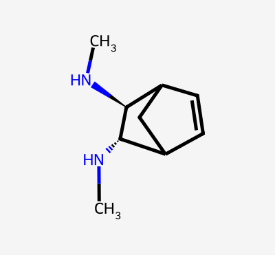 CN[C@H]1C2C=CC(C2)[C@@H]1NC